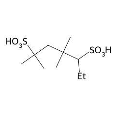 CCC(C(C)(C)CC(C)(C)S(=O)(=O)O)S(=O)(=O)O